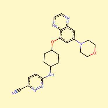 N#Cc1ccc(NC2CCC(Oc3cc(N4CCOCC4)cc4nccnc34)CC2)nn1